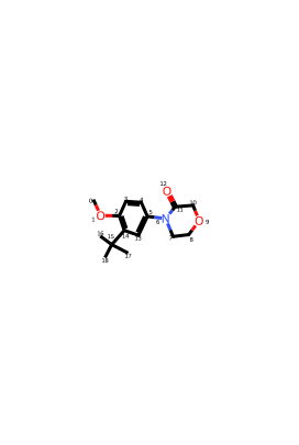 COc1ccc(N2CCOCC2=O)cc1C(C)(C)C